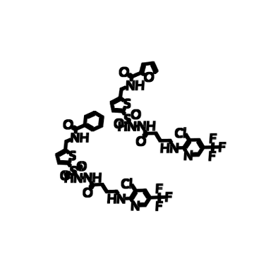 O=C(CCCNc1ncc(C(F)(F)F)cc1Cl)NNS(=O)(=O)c1ccc(CNC(=O)c2ccccc2)s1.O=C(CCCNc1ncc(C(F)(F)F)cc1Cl)NNS(=O)(=O)c1ccc(CNC(=O)c2ccco2)s1